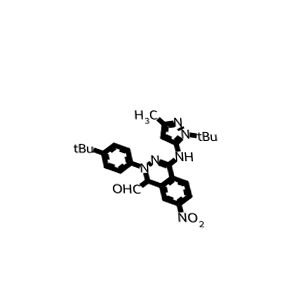 Cc1cc(NC2=NN(c3ccc(C(C)(C)C)cc3)C(C=O)c3cc([N+](=O)[O-])ccc32)n(C(C)(C)C)n1